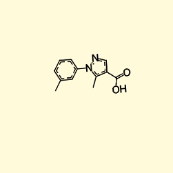 Cc1cccc(-n2ncc(C(=O)O)c2C)c1